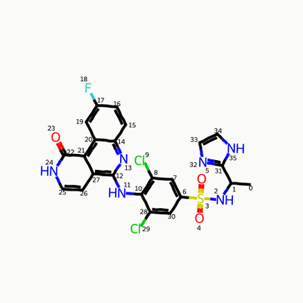 CC(NS(=O)(=O)c1cc(Cl)c(Nc2nc3ccc(F)cc3c3c(=O)[nH]ccc23)c(Cl)c1)c1ncc[nH]1